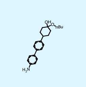 CCCCOC1(O)CCC(c2ccc(-c3ccc(N)cc3)cc2)CC1